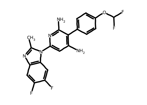 Cc1nc2cc(F)c(F)cc2n1-c1cc(N)c(-c2ccc(OC(F)F)cc2)c(N)n1